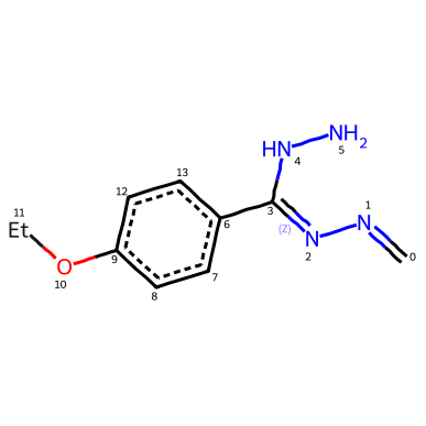 C=N/N=C(\NN)c1ccc(OCC)cc1